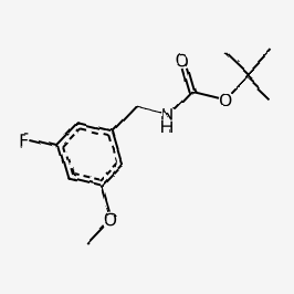 COc1cc(F)cc(CNC(=O)OC(C)(C)C)c1